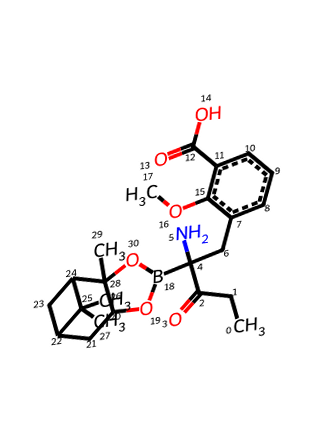 CCC(=O)C(N)(Cc1cccc(C(=O)O)c1OC)B1OC2CC3CC(C3(C)C)C2(C)O1